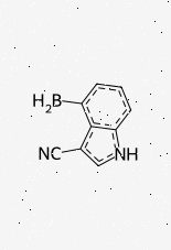 Bc1cccc2[nH]cc(C#N)c12